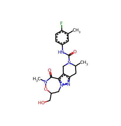 Cc1cc(NC(=O)N2Cc3c(nn4c3C(=O)N(C)OC(CO)C4)CC2C)ccc1F